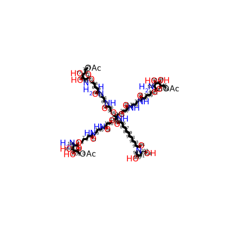 CC(=O)OCC1OC(OCCCCC(=O)NCCCNC(=O)CCOCC(COCCC(=O)NCCCNC(=O)CCCCOC2OC(COC(C)=O)C(O)C(O)C2N)(COCCC(=O)NCCCNC(=O)CCCCOC2OC(COC(C)=O)C(O)C(O)C2N)NC(=O)CCCCCCCCCCC(=O)N2C[C@H](O)C[C@H]2CO)C(N)C(O)C1O